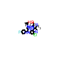 CC(C)(CO)Nc1c(C#N)cnc2c(Cl)cc(NC(C3=CN(C4CC4)NN3)c3ccc(F)cc3)cc12